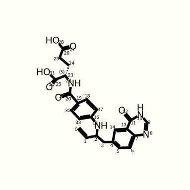 C=CC(Cc1ccc2nc[nH]c(=O)c2c1)Nc1ccc(C(=O)N[C@@H](CCC(=O)O)C(=O)O)cc1